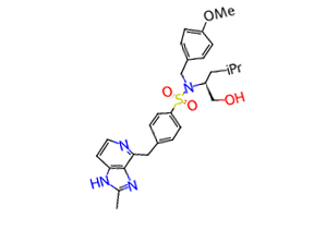 COc1ccc(CN([C@H](CO)CC(C)C)S(=O)(=O)c2ccc(Cc3nccc4[nH]c(C)nc34)cc2)cc1